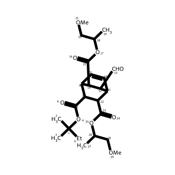 CCC(C)(C)OC(=O)C1C2C=CC(C(C=O)C2C(=O)OC(C)COC)C1C(=O)OC(C)COC